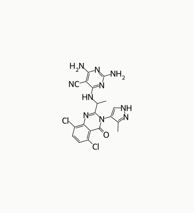 Cc1n[nH]cc1-n1c(C(C)Nc2nc(N)nc(N)c2C#N)nc2c(Cl)ccc(Cl)c2c1=O